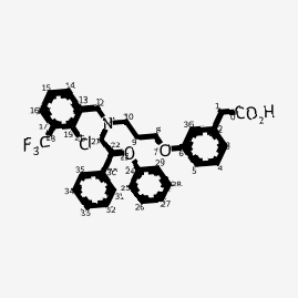 O=C(O)Cc1cccc(OCCCN(Cc2cccc(C(F)(F)F)c2Cl)CC(Oc2ccccc2)c2ccccc2)c1